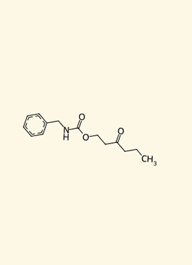 CCCC(=O)CCOC(=O)NCc1ccccc1